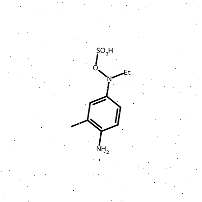 CCN(OS(=O)(=O)O)c1ccc(N)c(C)c1